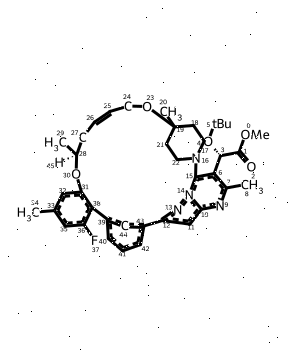 COC(=O)[C@@H](OC(C)(C)C)c1c(C)nc2cc3nn2c1N1CCC(C)(CC1)OCC=CC[C@H](C)Oc1cc(C)cc(F)c1-c1cccc-3c1